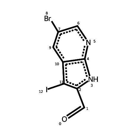 O=Cc1[nH]c2ncc(Br)cc2c1I